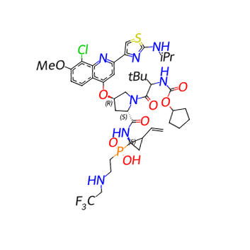 C=CC1C[C@]1(NC(=O)[C@@H]1C[C@@H](Oc2cc(-c3csc(NC(C)C)n3)nc3c(Cl)c(OC)ccc23)CN1C(=O)C(NC(=O)OC1CCCC1)C(C)(C)C)P(=O)(O)CCNCC(F)(F)F